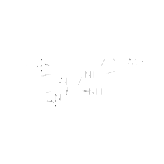 CCC(C)n1cc(-c2nc(/C(C=N)=C/NCc3ccc(OC)cc3)cn3nccc23)cn1